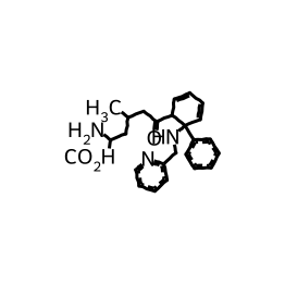 CC(CC(=O)C1C=CC=CC1(NCc1ccccn1)c1ccccc1)CC(N)C(=O)O